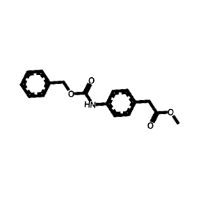 COC(=O)Cc1ccc(NC(=O)OCc2ccccc2)cc1